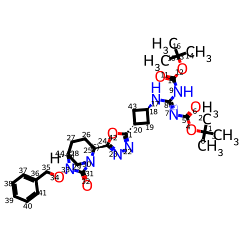 CC(C)(C)OC(=O)/N=C(\NC(=O)OC(C)(C)C)N[C@H]1C[C@H](c2nnc([C@@H]3CC[C@H]4CN3C(=O)N4OCc3ccccc3)o2)C1